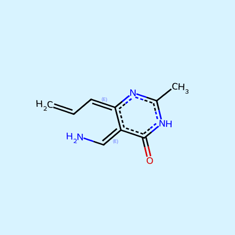 C=C/C=c1/nc(C)[nH]c(=O)/c1=C/N